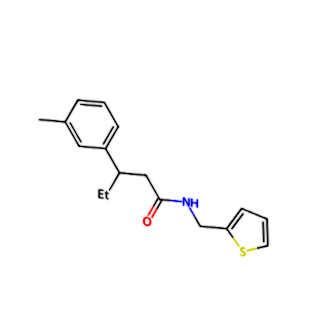 CCC(CC(=O)NCc1cccs1)c1cccc(C)c1